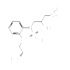 C=CCOc1ccccc1N(CC(O)CNC(C)C)S(C)(=O)=O